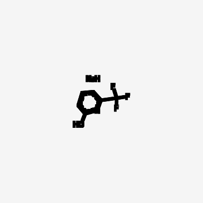 Oc1cccc(C(F)(F)F)n1.[NaH]